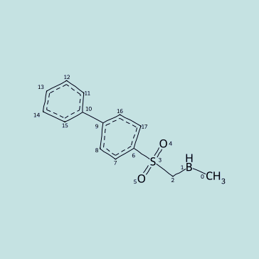 CBCS(=O)(=O)c1ccc(-c2ccccc2)cc1